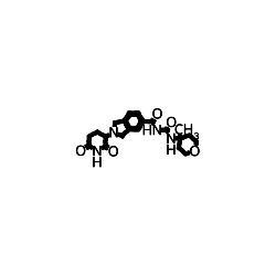 CC1(NC(=O)NC(=O)c2ccc3c(c2)CN(C2CCC(=O)NC2=O)C3)CCOCC1